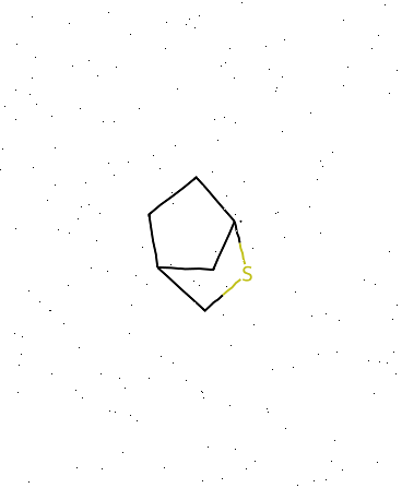 C1CC2CS[C]1C2